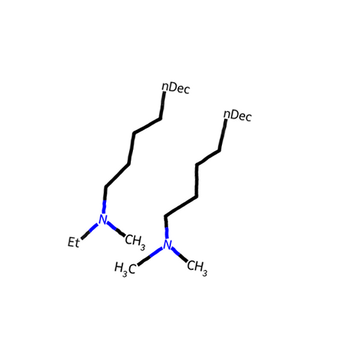 CCCCCCCCCCCCCCN(C)C.CCCCCCCCCCCCCCN(C)CC